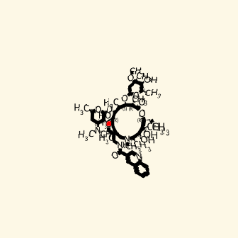 CC[C@H]1OC(=O)[C@H](C)[C@@H](OC2C[C@@](C)(OC)[C@@H](O)[C@H](C)O2)[C@H](C)[C@@H](O[C@@H]2O[C@H](C)C[C@H](N(C)C)[C@H]2OCCCNC(=O)c2cnc3ccccc3c2)[C@](C)(O)C[C@@H](C)CN(C)[C@H](C)[C@@H](O)[C@]1(C)O